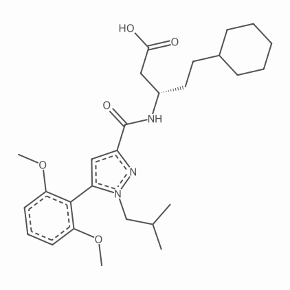 COc1cccc(OC)c1-c1cc(C(=O)N[C@@H](CCC2CCCCC2)CC(=O)O)nn1CC(C)C